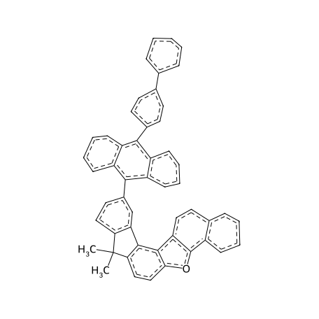 CC1(C)c2ccc(-c3c4ccccc4c(-c4ccc(-c5ccccc5)cc4)c4ccccc34)cc2-c2c1ccc1oc3c4ccccc4ccc3c21